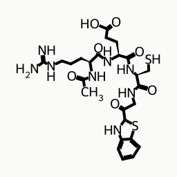 CC(=O)N[C@@H](CCCNC(=N)N)C(=O)N[C@@H](CCC(=O)O)C(=O)N[C@@H](CS)C(=O)NCC(=O)C1Nc2ccccc2S1